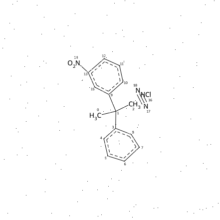 CC(C)(c1ccccc1)c1cccc([N+](=O)[O-])c1.Cl.N#N